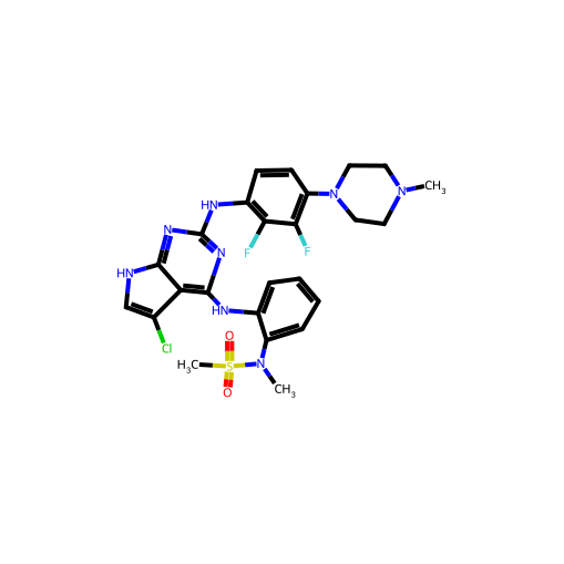 CN1CCN(c2ccc(Nc3nc(Nc4ccccc4N(C)S(C)(=O)=O)c4c(Cl)c[nH]c4n3)c(F)c2F)CC1